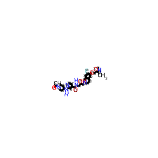 CC(=O)N1CCC(Nc2cc(C(=O)NCC(O)CN3CCc4cc(OCc5ocnc5C)c(F)cc4C3)ccn2)CC1